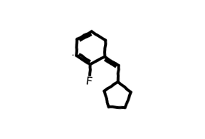 FC1=[C]C=CCC1=CC1CCCC1